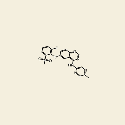 Cc1cnc(Nc2ncnc3ccc(Oc4c(F)cccc4S(C)(=O)=O)cc23)cn1